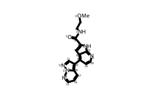 COCCNC(=O)c1cc2c(-c3cnn4ncccc34)ccnc2[nH]1